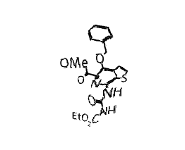 CCOC(=O)NC(=O)Nc1nc(C(=O)OC)c(OCc2ccccc2)c2ccsc12